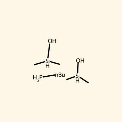 CCCCP.C[SiH](C)O.C[SiH](C)O